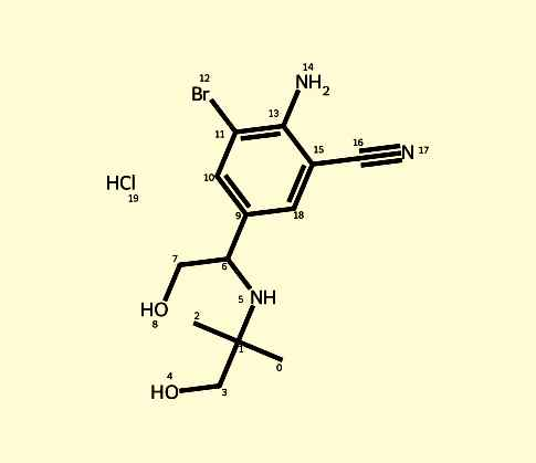 CC(C)(CO)NC(CO)c1cc(Br)c(N)c(C#N)c1.Cl